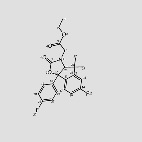 CCOC(=O)CN1C(=O)OC(c2ccc(F)cc2)(c2ccc(F)cc2)C1C(C)(C)C